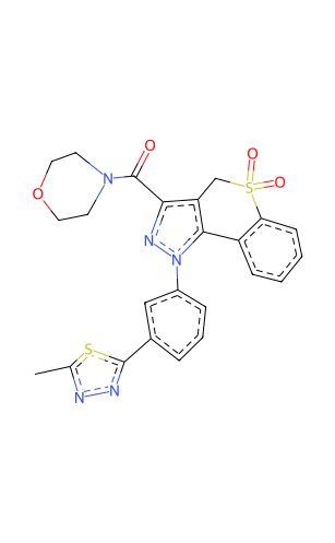 Cc1nnc(-c2cccc(-n3nc(C(=O)N4CCOCC4)c4c3-c3ccccc3S(=O)(=O)C4)c2)s1